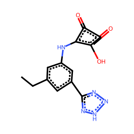 CCc1cc(Nc2c(O)c(=O)c2=O)cc(-c2nn[nH]n2)c1